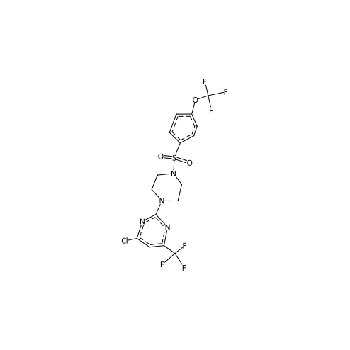 O=S(=O)(c1ccc(OC(F)(F)F)cc1)N1CCN(c2nc(Cl)cc(C(F)(F)F)n2)CC1